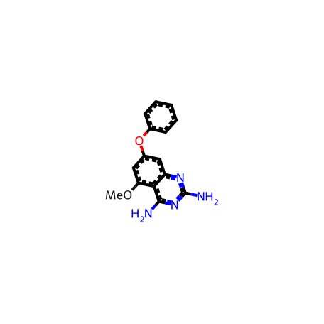 COc1cc(Oc2ccccc2)cc2nc(N)nc(N)c12